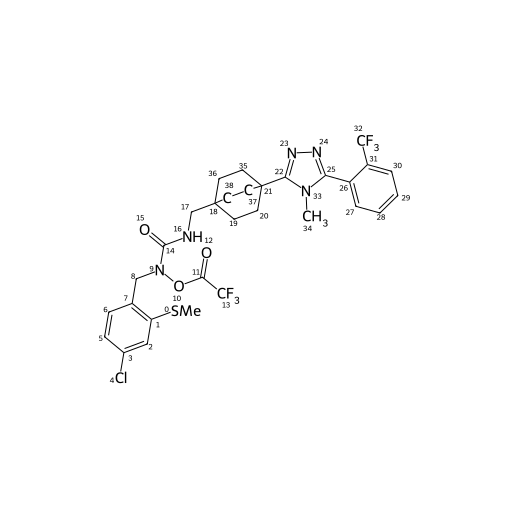 CSc1cc(Cl)ccc1CN(OC(=O)C(F)(F)F)C(=O)NCC12CCC(c3nnc(-c4ccccc4C(F)(F)F)n3C)(CC1)CC2